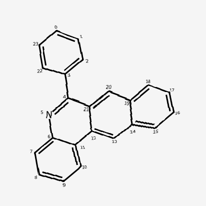 c1ccc(-c2nc3ccccc3c3cc4ccccc4cc23)cc1